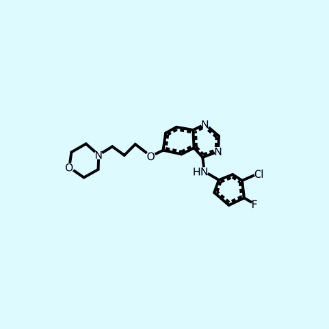 Fc1ccc(Nc2ncnc3ccc(OCCCN4CCOCC4)cc23)cc1Cl